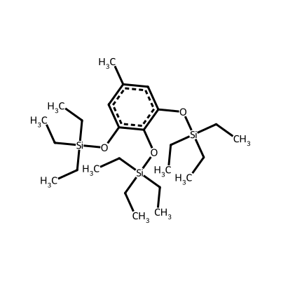 CC[Si](CC)(CC)Oc1cc(C)cc(O[Si](CC)(CC)CC)c1O[Si](CC)(CC)CC